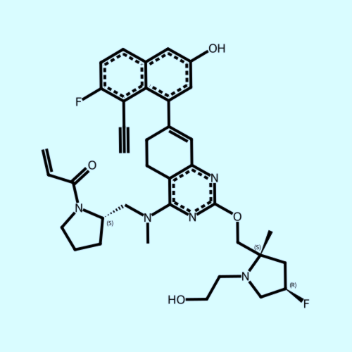 C#Cc1c(F)ccc2cc(O)cc(C3=Cc4nc(OC[C@]5(C)C[C@@H](F)CN5CCO)nc(N(C)C[C@@H]5CCCN5C(=O)C=C)c4CC3)c12